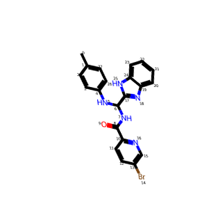 Cc1ccc(NC(NC(=O)c2ccc(Br)cn2)c2nc3ccccc3[nH]2)cc1